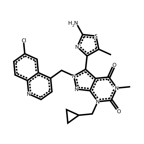 Cc1sc(N)nc1-c1c2c(=O)n(C)c(=O)n(CC3CC3)c2nn1Cc1ccnc2ccc(Cl)cc12